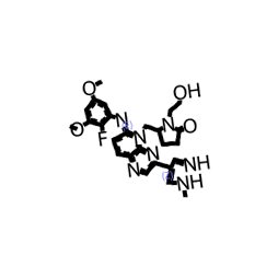 CN/C=C(\C=N)c1cnc2cc/c(=N\c3cc(OC)cc(OC)c3F)n(CC3CCC(=O)N3CCO)c2n1